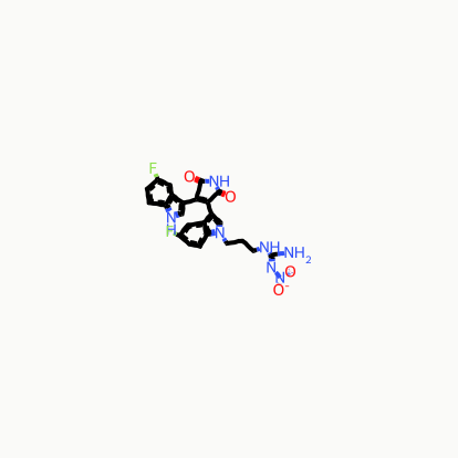 NC(=N[N+](=O)[O-])NCCCn1cc(C2=C(c3c[nH]c4ccc(F)cc34)C(=O)NC2=O)c2cc(F)ccc21